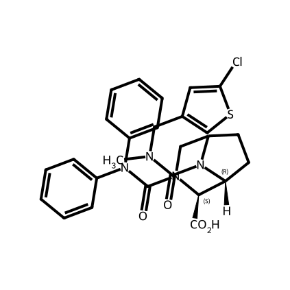 CN(Cc1csc(Cl)c1)C(=O)N1C2CC[C@@H]1[C@@H](C(=O)O)N(C(=O)N(c1ccccc1)c1ccccc1)C2